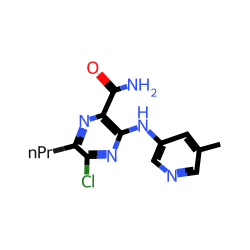 CCCc1nc(C(N)=O)c(Nc2cncc(C)c2)nc1Cl